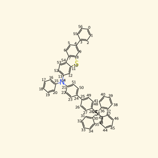 c1ccc(-c2ccc3c(c2)sc2cc(N(c4ccccc4)c4ccc(-c5ccc([Si](c6ccccc6)(c6ccccc6)c6ccccc6)cc5)cc4)ccc23)cc1